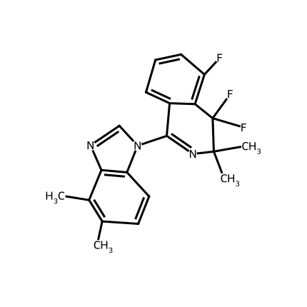 Cc1ccc2c(ncn2C2=NC(C)(C)C(F)(F)c3c(F)cccc32)c1C